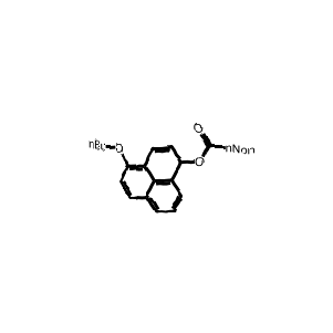 CCCCCCCCCC(=O)OC1C=Cc2c(OCCCC)ccc3cccc1c23